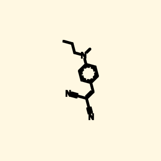 CCCN(C)c1ccc(C=C(C#N)C#N)cc1